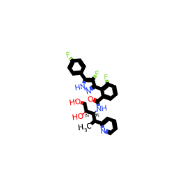 CC(c1ccccn1)[C@@H](NC(=O)c1cccc(F)c1-c1n[nH]c(-c2ccc(F)cc2)c1F)[C@H](O)CO